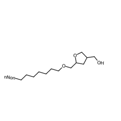 CCCCCCCCCCCCCCCCOCC1CC(CO)CO1